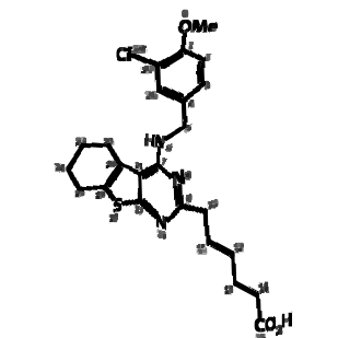 COc1ccc(CNc2nc(CCCCCC(=O)O)nc3sc4c(c23)CCCC4)cc1Cl